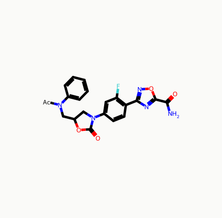 CC(=O)N(CC1CN(c2ccc(-c3noc(C(N)=O)n3)c(F)c2)C(=O)O1)c1ccccc1